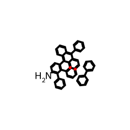 Nc1ccc(-c2c3ccccc3c(-c3ccccc3)c3ccccc23)c(-c2ccccc2)c1-c1ccccc1.c1ccc(-c2ccccc2)cc1